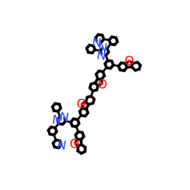 c1ccc(-c2nc(-c3cccc(-c4cccnc4)c3)cc(-c3cc(-c4ccc5c(c4)oc4ccccc45)cc(-c4ccc5c(c4)oc4cc(-c6ccc7c(c6)oc6cc(-c8cc(-c9ccc%10c(c9)oc9ccccc9%10)cc(-c9cc(-c%10ccccc%10-c%10cccnc%10)nc(-c%10ccccc%10)n9)c8)ccc67)ccc45)c3)n2)cc1